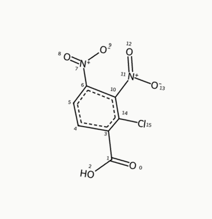 O=C(O)c1ccc([N+](=O)[O-])c([N+](=O)[O-])c1Cl